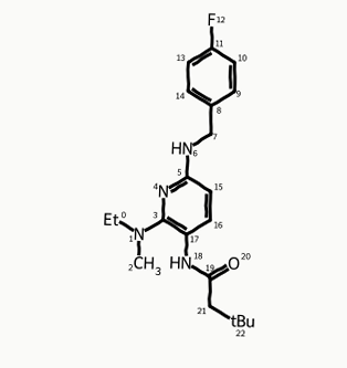 CCN(C)c1nc(NCc2ccc(F)cc2)ccc1NC(=O)CC(C)(C)C